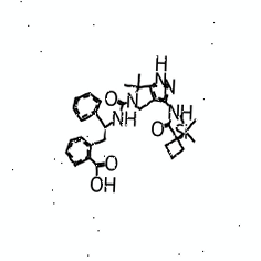 CC1(C)c2[nH]nc(NC(=O)C3([Si](C)(C)C)CCC3)c2CN1C(=O)N[C@@H](Cc1ccccc1C(=O)O)c1ccccc1